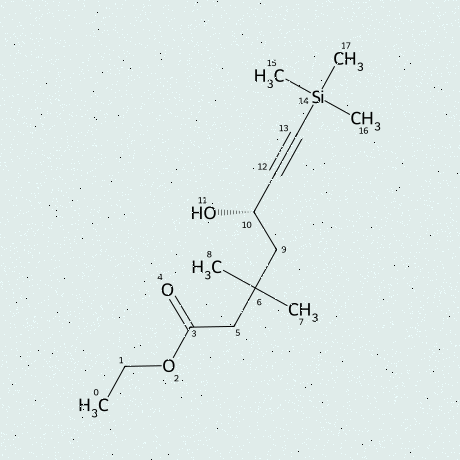 CCOC(=O)CC(C)(C)C[C@H](O)C#C[Si](C)(C)C